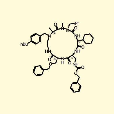 CCCCc1ccc(CN2CCNC(=O)[C@H](COCc3ccccc3)NC(=O)[C@H](CNC(=O)OCc3ccccc3)NC(=O)[C@H](C3CCCCC3)NC(=O)[C@H](CC(C)C)N(C)C(=O)[C@@H]2C)cc1